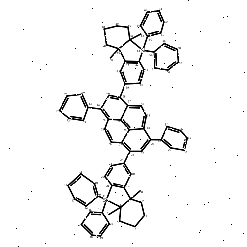 CC12CCCCC1(C)[Si](c1ccccc1)(c1ccccc1)c1ccc(-c3cc(-c4ccccc4)c4ccc5c(-c6ccc7c(c6)C6(C)CCCCC6(C)[Si]7(c6ccccc6)c6ccccc6)cc(-c6ccccc6)c6ccc3c4c65)cc12